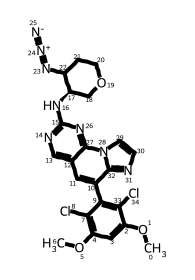 COc1cc(OC)c(Cl)c(-c2cc3cnc(N[C@@H]4COCCC4N=[N+]=[N-])nc3n3ccnc23)c1Cl